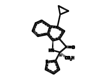 O=C(O)[C@]1(c2cccs2)Nc2c(cc(C3CC3)c3ccccc23)C1=O